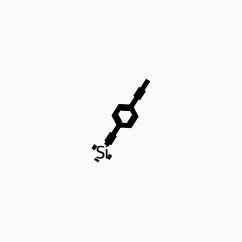 CC#Cc1ccc(C#C[Si](C)(C)C)cc1